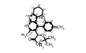 Cc1ccc(-c2c([C@@H](OC(C)(C)C)C(=O)O)c(C)nc3sc4c(c23)CCCC4)c(O)c1